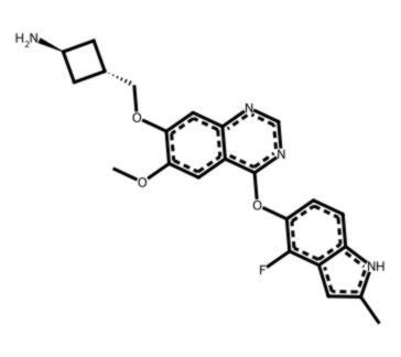 COc1cc2c(Oc3ccc4[nH]c(C)cc4c3F)ncnc2cc1OC[C@H]1C[C@H](N)C1